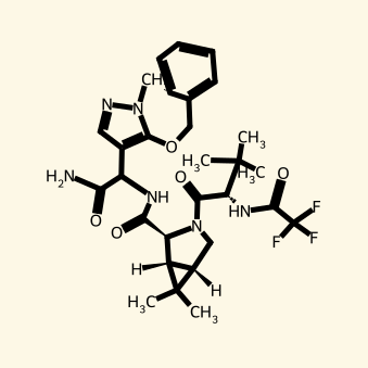 Cn1ncc(C(NC(=O)[C@@H]2[C@@H]3[C@H](CN2C(=O)[C@@H](NC(=O)C(F)(F)F)C(C)(C)C)C3(C)C)C(N)=O)c1OCc1ccccc1